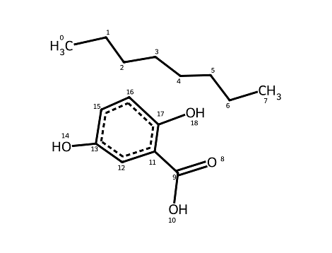 CCCCCCCC.O=C(O)c1cc(O)ccc1O